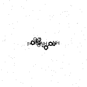 O=C(NCc1cccc(-c2ccc3[nH]ccc3c2)c1)[C@@H]1CCCN1S(=O)(=O)c1ccc(F)cc1